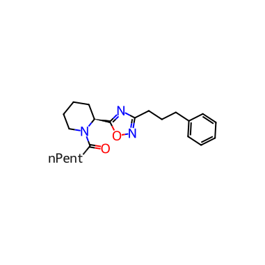 CCCCCC(=O)N1CCCC[C@H]1c1nc(CCCc2ccccc2)no1